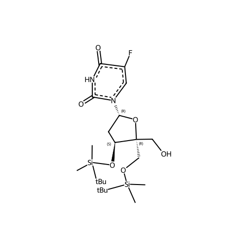 CC(C)(C)[Si](C)(C)OC[C@@]1(CO)O[C@@H](n2cc(F)c(=O)[nH]c2=O)C[C@@H]1O[Si](C)(C)C(C)(C)C